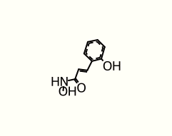 O=C(/C=C/c1ccccc1O)NO